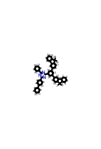 CC1(C)c2ccccc2-c2cc(-c3cc(-c4ccc5c(c4)-c4ccccc4C5(C)C)cc(-c4nc(-c5ccccc5)nc(-c5ccc(-c6ccccc6)cc5)n4)c3)ccc21